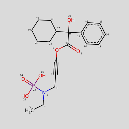 CCN(CC#COC(=O)C(O)(c1ccccc1)C1CCCCC1)P(=O)(O)O